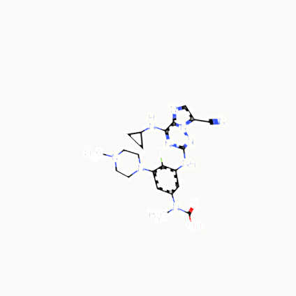 CN1CCN(c2cc(N(C)C(=O)O)cc(Nc3nc(NC4CC4)c4ncc(C#N)n4n3)c2F)CC1